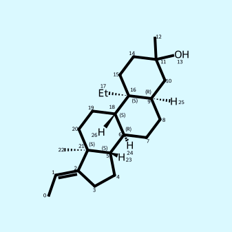 CC=C1CC[C@H]2[C@@H]3CC[C@@H]4CC(C)(O)CC[C@]4(CC)[C@H]3CC[C@]12C